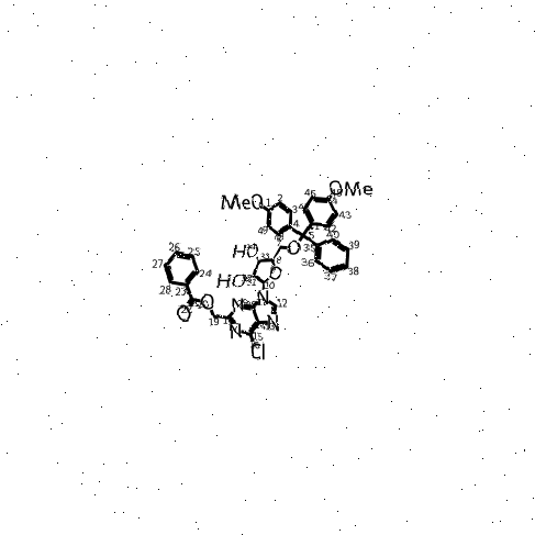 COc1ccc(C(OC[C@H]2O[C@@H](n3cnc4c(Cl)nc(COC(=O)c5ccccc5)nc43)[C@H](O)[C@@H]2O)(c2ccccc2)c2ccc(OC)cc2)cc1